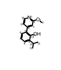 COc1cc(-c2cccc(C(C)C)c2O)ccn1